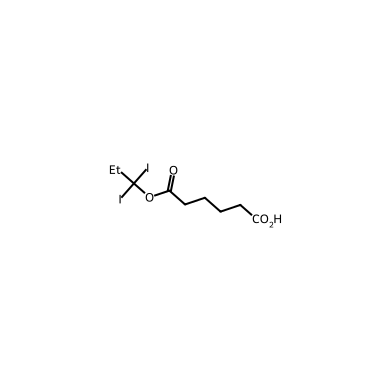 CCC(I)(I)OC(=O)CCCCC(=O)O